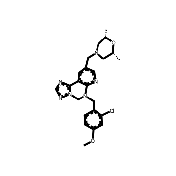 COc1ccc(CN2Cn3ncnc3-c3cc(CN4C[C@@H](C)O[C@@H](C)C4)cnc32)c(Cl)c1